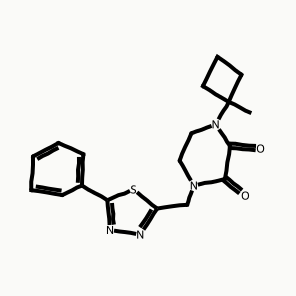 CC1(N2CCN(Cc3nnc(-c4ccccc4)s3)C(=O)C2=O)CCC1